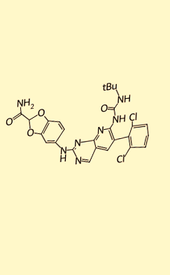 CC(C)(C)NC(=O)Nc1nc2nc(Nc3ccc4c(c3)OC(C(N)=O)O4)ncc2cc1-c1c(Cl)cccc1Cl